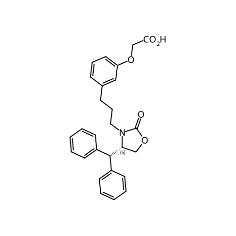 O=C(O)COc1cccc(CCCN2C(=O)OC[C@@H]2C(c2ccccc2)c2ccccc2)c1